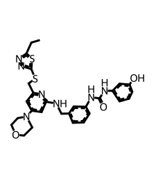 CCc1nnc(SCc2cc(N3CCOCC3)cc(NCc3cccc(NC(=O)Nc4cccc(O)c4)c3)n2)s1